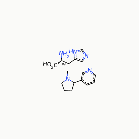 CN1CCCC1c1cccnc1.N[C@@H](Cc1cnc[nH]1)C(=O)O